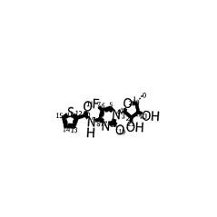 C[C@H]1O[C@@H](n2cc(F)c(NC(=O)c3cccs3)nc2=O)C(O)C1O